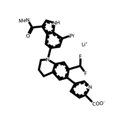 CNC(=O)c1c[nH]c2c(C(C)C)cc(N3CCCc4cc(-c5ccc(C(=O)[O-])nc5)c(C(F)F)cc43)cc12.[Li+]